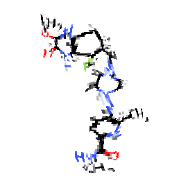 CNC(=O)c1ccc(N2CCN(Cc3ccc4nc(OC)c(=O)[nH]c4c3F)CC2)c(C)n1